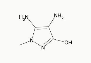 Cn1nc(O)c(N)c1N